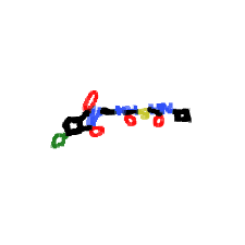 O=C(CSCC(=O)NC1CCC1)NCCN1C(=O)c2ccc(Cl)cc2C1=O